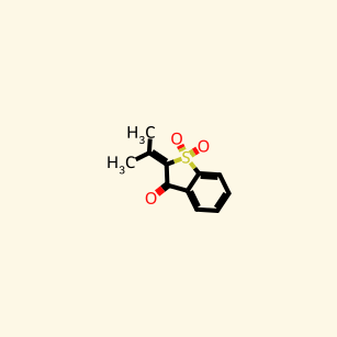 CC(C)=C1C(=O)c2ccccc2S1(=O)=O